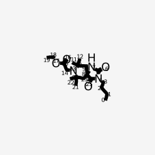 CCCCN1C(=O)NC2(CC(C)(C)N(CC(=O)OCC)C(C)(C)C2)C1=O